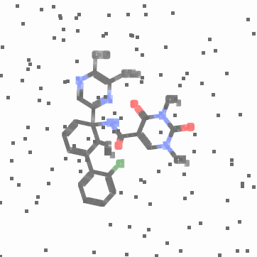 COc1nc(C2(NC(=O)c3cn(C)c(=O)n(C)c3=O)C=CC=C(c3ccccc3Cl)C2C)cnc1C=O